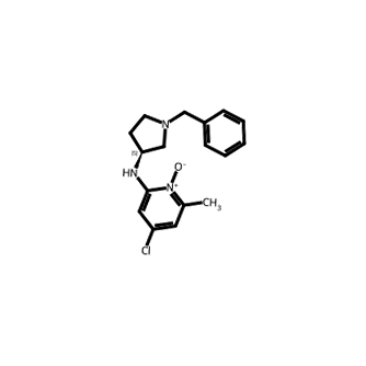 Cc1cc(Cl)cc(N[C@H]2CCN(Cc3ccccc3)C2)[n+]1[O-]